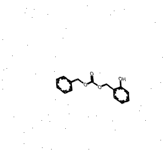 O=C(OCc1ccccc1)OCc1ccccc1O